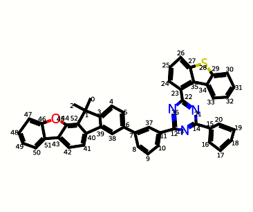 CC1(C)c2ccc(-c3cccc(-c4nc(-c5ccccc5)nc(-c5cccc6sc7ccccc7c56)n4)c3)cc2-c2ccc3c(oc4ccccc43)c21